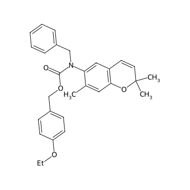 CCOc1ccc(COC(=O)N(Cc2ccccc2)c2cc3c(cc2C)OC(C)(C)C=C3)cc1